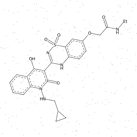 CCNC(=O)COc1ccc2c(c1)S(=O)(=O)N=C(c1c(O)c3ccccc3n(NCC3CC3)c1=O)N2